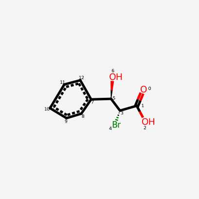 O=C(O)[C@H](Br)[C@H](O)c1ccccc1